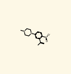 C=C(C)c1cc(N2CCN(C)CC2)ccc1[N+](=O)[O-]